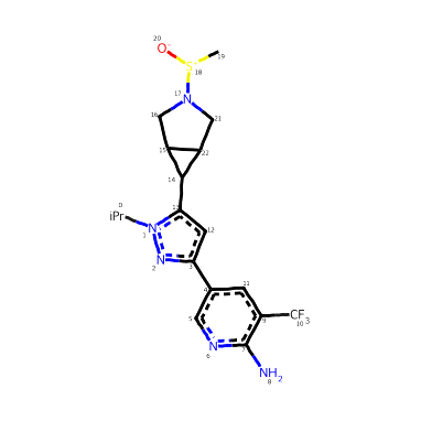 CC(C)n1nc(-c2cnc(N)c(C(F)(F)F)c2)cc1C1C2CN([S+](C)[O-])CC21